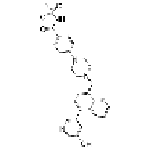 CS(=O)(=O)NC(=O)c1ccc(N2CCN(Cc3ccc(-c4cncc(O)c4)c4ccccc34)CC2)cc1